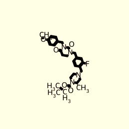 COc1ccc(CN2C(=O)CCN(Cc3ccc(CN4CCN(C(=O)OC(C)(C)C)[C@@H](C)C4)c(F)c3)C2=O)cc1